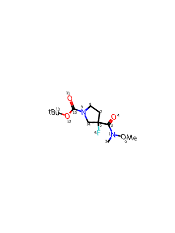 CON(C)C(=O)C1(F)CCN(C(=O)OC(C)(C)C)C1